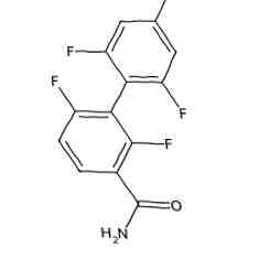 Cc1cc(F)c(-c2c(F)ccc(C(N)=O)c2F)c(F)c1